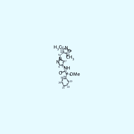 CO[C@@H](C(=O)Nc1cnn(Cc2c(C)noc2C)c1)c1ccccc1